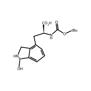 CC(C)(C)OC(=O)N[C@@H](Cc1cccc2c1CNB2O)C(=O)O